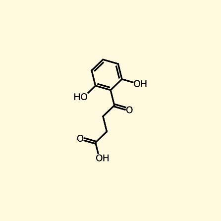 O=C(O)CCC(=O)c1c(O)cccc1O